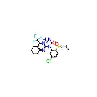 C[S+]([O-])c1ccc(Cl)cc1N(C(N)=O)c1nc2c(c(C(F)(F)F)n1)CCCC2